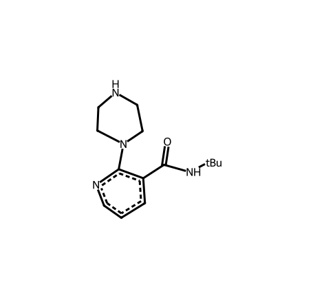 CC(C)(C)NC(=O)c1cccnc1N1CCNCC1